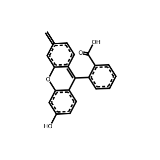 C=c1ccc2c(c1)Oc1cc(O)ccc1C=2c1ccccc1C(=O)O